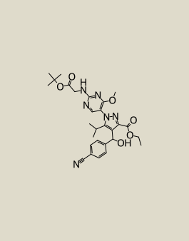 CCOC(=O)c1nn(-c2cnc(NCC(=O)OC(C)(C)C)nc2OC)c(C(C)C)c1C(O)c1ccc(C#N)cc1